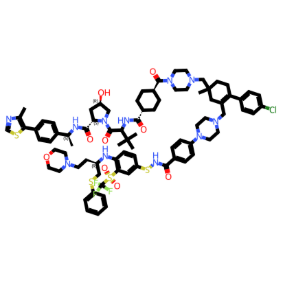 Cc1ncsc1-c1ccc([C@H](C)NC(=O)[C@@H]2C[C@@H](O)CN2C(=O)C(NC(=O)[C@H]2CC[C@H](C(=O)N3CCN(CC4(C)CCC(c5ccc(Cl)cc5)=C(CN5CCN(c6ccc(C(=O)NSc7ccc(N[C@H](CCN8CCOCC8)CSc8ccccc8)c(S(=O)(=O)C(F)(F)F)c7)cc6)CC5)C4)CC3)CC2)C(C)(C)C)cc1